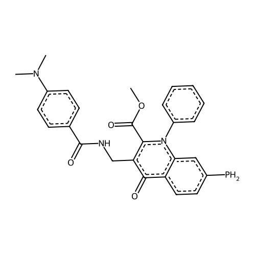 COC(=O)c1c(CNC(=O)c2ccc(N(C)C)cc2)c(=O)c2ccc(P)cc2n1-c1ccccc1